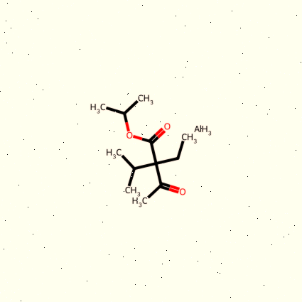 CCC(C(C)=O)(C(=O)OC(C)C)C(C)C.[AlH3]